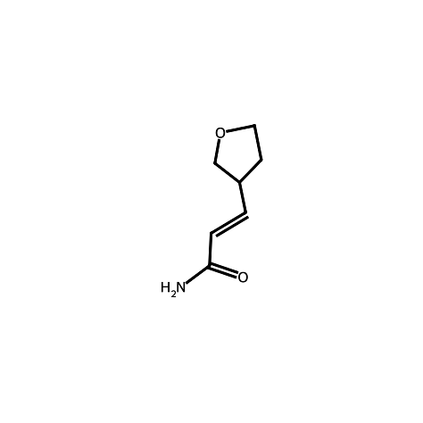 NC(=O)C=CC1CCOC1